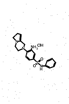 Cl.Nc1cc(S(=O)(=O)Nc2ccccc2)ccc1N1CCN2CCC=C2C1